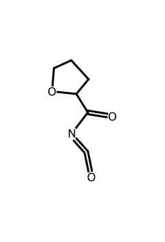 O=C=NC(=O)C1CCCO1